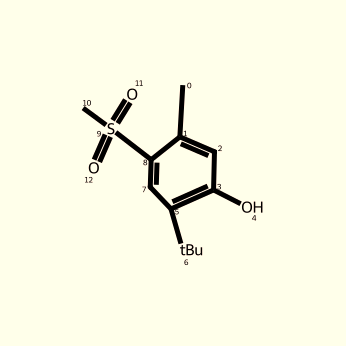 Cc1cc(O)c(C(C)(C)C)cc1S(C)(=O)=O